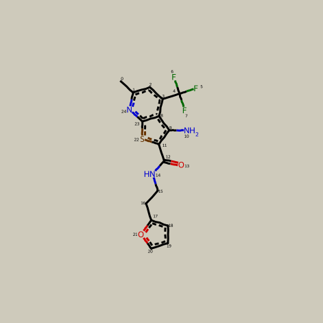 Cc1cc(C(F)(F)F)c2c(N)c(C(=O)NCCc3ccco3)sc2n1